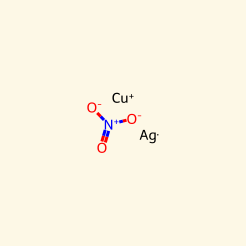 O=[N+]([O-])[O-].[Ag].[Cu+]